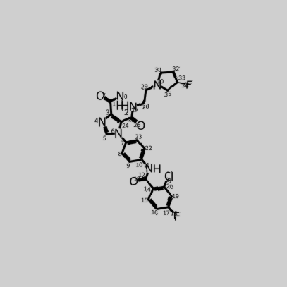 NC(=O)c1ncn(-c2ccc(NC(=O)c3ccc(F)cc3Cl)cc2)c1C(=O)NCCN1CC[C@@H](F)C1